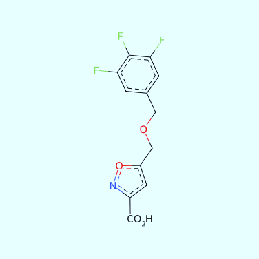 O=C(O)c1cc(COCc2cc(F)c(F)c(F)c2)on1